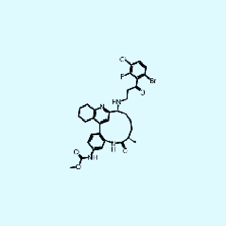 COC(=O)Nc1ccc2c(c1)NC(=O)[C@H](C)CCC[C@H](NCCC(=O)c1c(Br)ccc(Cl)c1F)c1cc-2c2c(n1)CCCC2